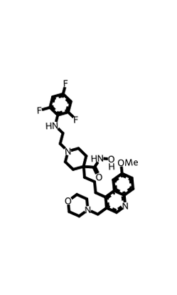 COc1ccc2ncc(CN3CCOCC3)c(CCCC3(C(=O)NO)CCN(CCNc4c(F)cc(F)cc4F)CC3)c2c1